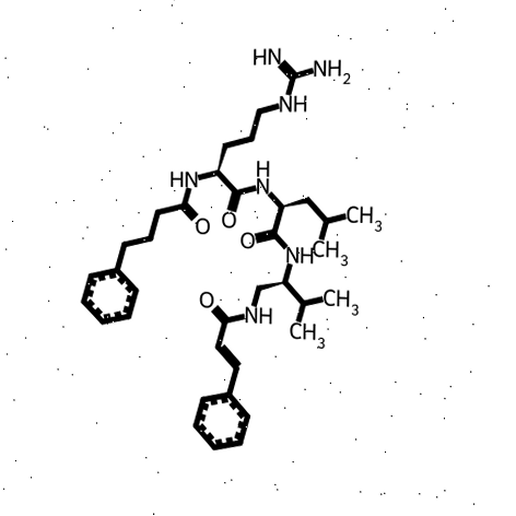 CC(C)C[C@H](NC(=O)[C@H](CCCNC(=N)N)NC(=O)CCCc1ccccc1)C(=O)N[C@H](CNC(=O)/C=C/c1ccccc1)C(C)C